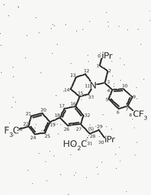 CC(C)CCC(c1ccc(C(F)(F)F)cc1)N1CCCC(c2cc(-c3ccc(C(F)(F)F)cc3)cc([C@H](CC(C)C)C(=O)O)c2)C1